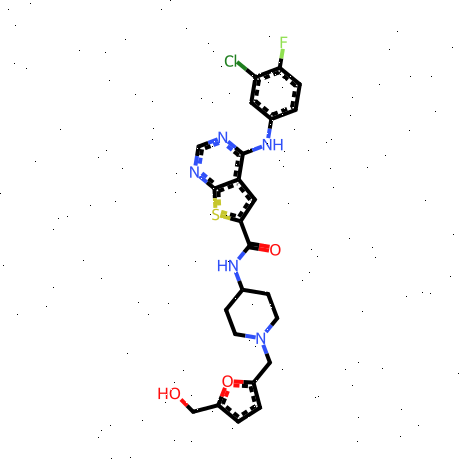 O=C(NC1CCN(Cc2ccc(CO)o2)CC1)c1cc2c(Nc3ccc(F)c(Cl)c3)ncnc2s1